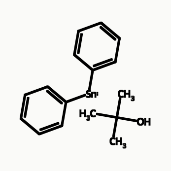 CC(C)(C)O.c1cc[c]([Sn][c]2ccccc2)cc1